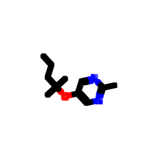 CCCC(C)(C)Oc1cnc(C)nc1